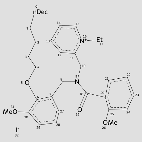 CCCCCCCCCCCCCCOc1c(CN(Cc2cccc[n+]2CC)C(=O)c2ccccc2OC)cccc1OC.[I-]